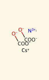 O=C([O-])[O-].O=C([O-])[O-].[Cs+].[N+3]